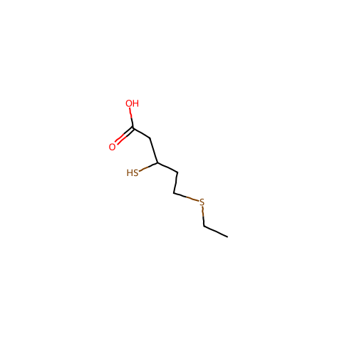 CCSCCC(S)CC(=O)O